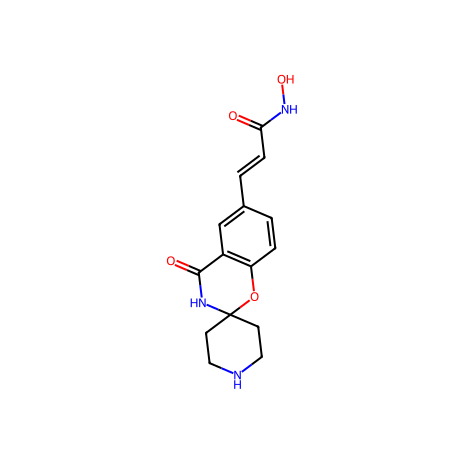 O=C(C=Cc1ccc2c(c1)C(=O)NC1(CCNCC1)O2)NO